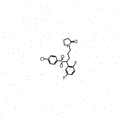 O=C1CCCN1CCCC(c1cc(F)ccc1F)S(=O)(=O)c1ccc(Cl)cc1